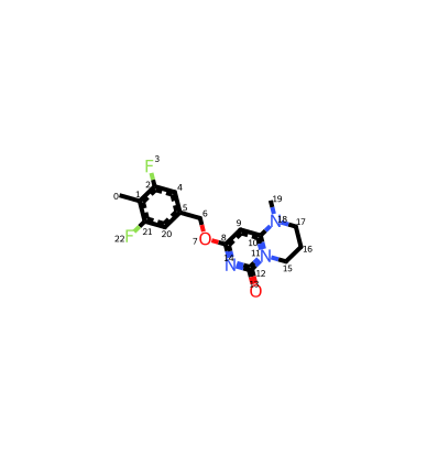 Cc1c(F)cc(COc2cc3n(c(=O)n2)CCCN3C)cc1F